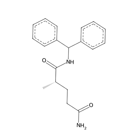 C[C@@H](CCC(N)=O)C(=O)NC(c1ccccc1)c1ccccc1